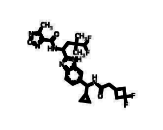 Cc1nonc1C(=O)NC(CC(C)(C)C(F)F)c1nc2ccc(C(NC(=O)CC3CC(F)(F)C3)C3CC3)cc2[nH]1